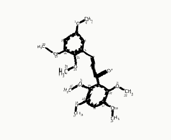 COc1cc(C=CC(=O)c2c(OC)c(OC)cc(OC)c2OC)c(OC)c(OC)c1